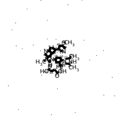 COc1cncc(-c2ccc3ncc4c(c3c2)n(-c2ccc(N3CC(C)NC(C)C3)c(C(F)(F)F)c2)c(=O)n4C)c1.O=C(O)C=CC(=O)O